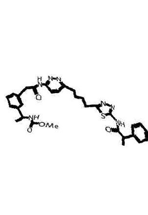 COC(=O)NC(C)c1cccc(CC(=O)Nc2ccc(CCCCc3nnc(NC(=O)C(C)c4ccccc4)s3)nn2)c1